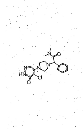 CN(C)C(=O)C(c1ccccc1)N1CCN(c2cn[nH]c(=O)c2Cl)CC1